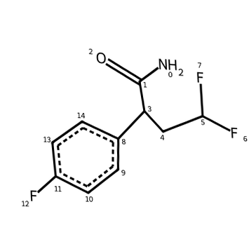 NC(=O)C(CC(F)F)c1ccc(F)cc1